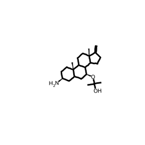 C=C1CCC2C3C(CC[C@]12C)[C@@]1(C)CC[C@H](N)CC1C[C@@H]3OC(C)(C)O